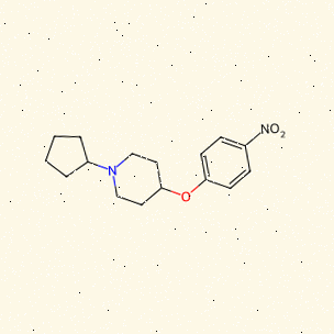 O=[N+]([O-])c1ccc(OC2CCN(C3CCCC3)CC2)cc1